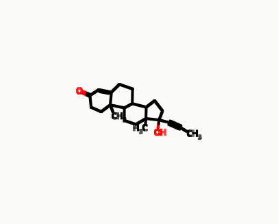 CC#CC1(O)CCC2C3CCC4=CC(=O)CCC4(C)C3CCC21C